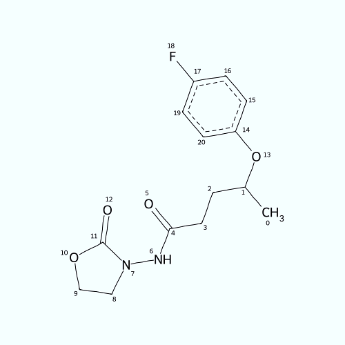 CC(CCC(=O)NN1CCOC1=O)Oc1ccc(F)cc1